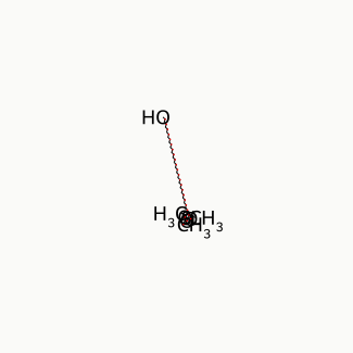 CCO[Si](CCCCCCCCCCCCCCCCCCCCCCCCCCCCCCCCCCCCCCCO)(OCC)OCC